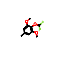 COc1cc(C)cc(OC)c1OC(F)F